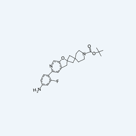 CC(C)(C)OC(=O)N1CCC2(CC1)CC1(Cc3cc(-c4ccc(N)cc4F)ncc3O1)C2